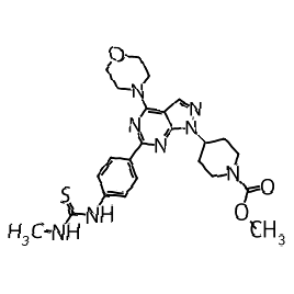 CNC(=S)Nc1ccc(-c2nc(N3CCOCC3)c3cnn(C4CCN(C(=O)OC)CC4)c3n2)cc1